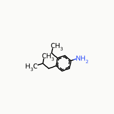 CCc1cc(N)ccc1CC(C)C